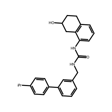 CC(C)c1ccc(-c2cccc(CNC(=O)Nc3cccc4c3CC(O)CC4)c2)cc1